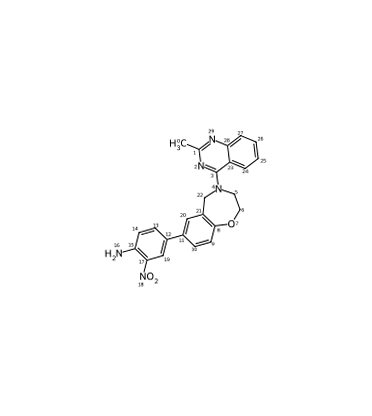 Cc1nc(N2CCOc3ccc(-c4ccc(N)c([N+](=O)[O-])c4)cc3C2)c2ccccc2n1